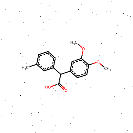 COc1ccc(C(C(=O)O)c2cccc(C)c2)cc1OC